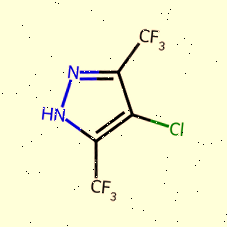 FC(F)(F)c1n[nH]c(C(F)(F)F)c1Cl